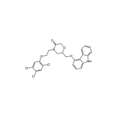 O=C1COC(COc2cccc3[nH]c4ccccc4c23)CN1CCOc1cc(Cl)c(Cl)cc1Cl